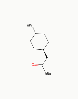 CCCCC(=O)C[C@H]1CC[C@H](CCC)CC1